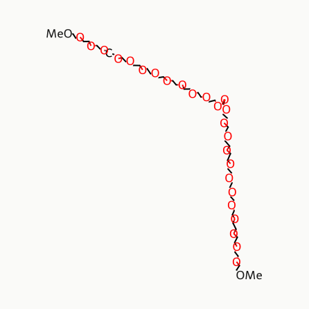 COCCOCCOCCOCCOCCOCCOCCOCCOCCOCCOCCOCCOC(=O)OCCOCCOCCOCCOCCOCCOCCOCCOCCOCCOCCOCCOC